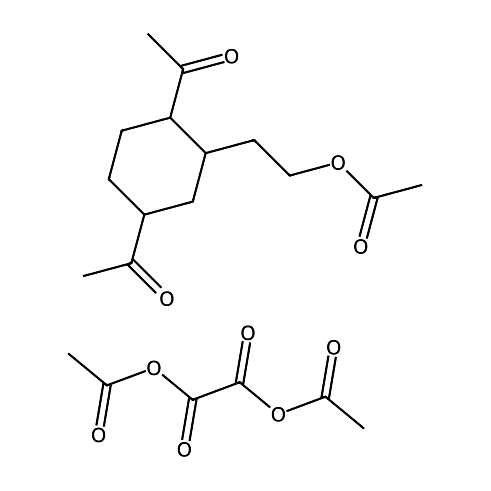 CC(=O)OC(=O)C(=O)OC(C)=O.CC(=O)OCCC1CC(C(C)=O)CCC1C(C)=O